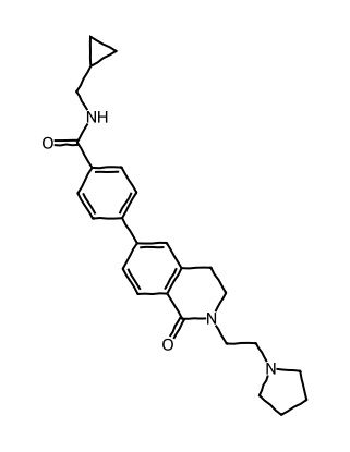 O=C(NCC1CC1)c1ccc(-c2ccc3c(c2)CCN(CCN2CCCC2)C3=O)cc1